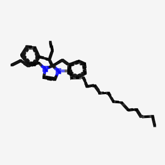 CCCCCCCCCCCCCCN1C=CN(CCCC)C1(Cc1ccccc1)C(CC)c1ccccc1